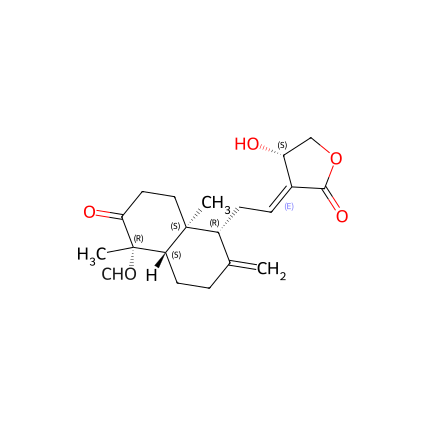 C=C1CC[C@H]2[C@@](C)(CCC(=O)[C@@]2(C)C=O)[C@@H]1C/C=C1/C(=O)OC[C@H]1O